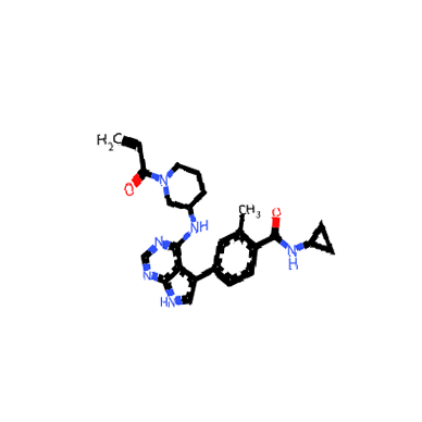 C=CC(=O)N1CCCC(Nc2ncnc3[nH]cc(-c4ccc(C(=O)NC5CC5)c(C)c4)c23)C1